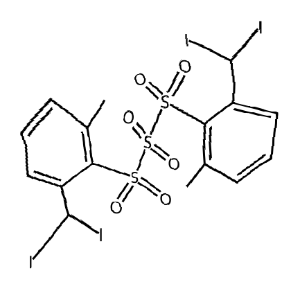 Cc1cccc(C(I)I)c1S(=O)(=O)S(=O)(=O)S(=O)(=O)c1c(C)cccc1C(I)I